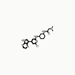 CN(C)CC(=O)NC1CCCC(Nc2cc(-c3c[nH]c4nccnc34)cc(Cl)n2)C1